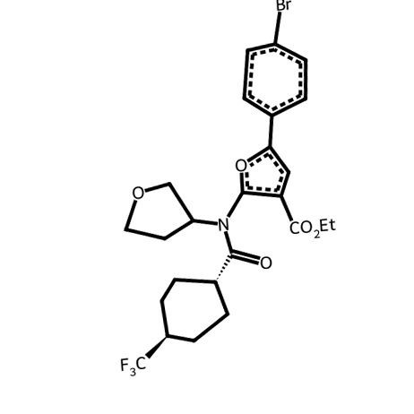 CCOC(=O)c1cc(-c2ccc(Br)cc2)oc1N(C(=O)[C@H]1CC[C@H](C(F)(F)F)CC1)C1CCOC1